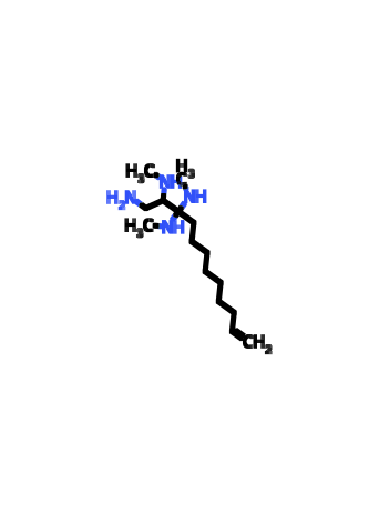 C=CCCCCCCCC(NC)(NC)C(CN)NC